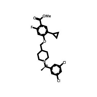 COC(=O)c1cc(C2CC2)c(OCC2CCN([C@H](C)c3cc(Cl)cc(Cl)c3)CC2)cc1F